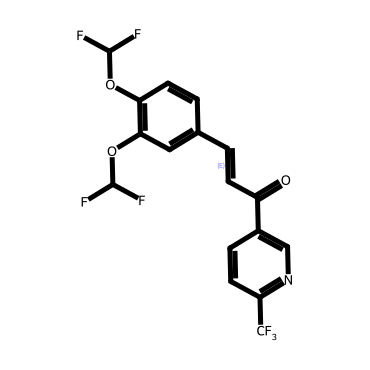 O=C(/C=C/c1ccc(OC(F)F)c(OC(F)F)c1)c1ccc(C(F)(F)F)nc1